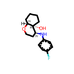 O[C@@]12CCCC[C@@H]1OCC[C@@H]2Nc1ccc(F)cc1